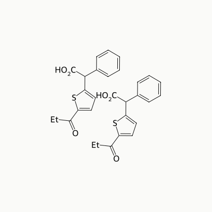 CCC(=O)c1ccc(C(C(=O)O)c2ccccc2)s1.CCC(=O)c1ccc(C(C(=O)O)c2ccccc2)s1